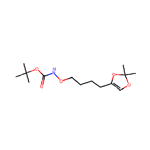 CC(C)(C)OC(=O)NOCCCCC1=COC(C)(C)O1